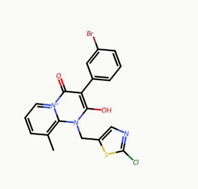 Cc1ccc[n+]2c(=O)c(-c3cccc(Br)c3)c(O)n(Cc3cnc(Cl)s3)c12